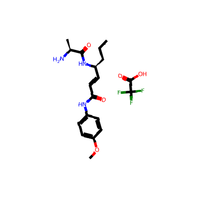 CCC[C@@H](C=CC(=O)Nc1ccc(OC)cc1)NC(=O)[C@H](C)N.O=C(O)C(F)(F)F